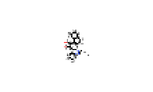 Cn1cc(-c2cocc2-c2cccc3ccccc23)c2ccccc21